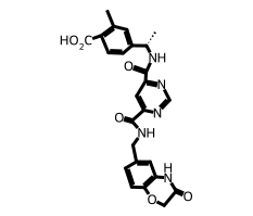 Cc1cc([C@H](C)NC(=O)c2cc(C(=O)NCc3ccc4c(c3)NC(=O)CO4)ncn2)ccc1C(=O)O